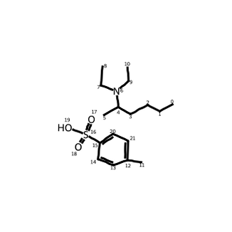 CCCCC(C)N(CC)CC.Cc1ccc(S(=O)(=O)O)cc1